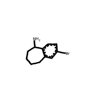 NC1CCCCc2cc(Br)ccc21